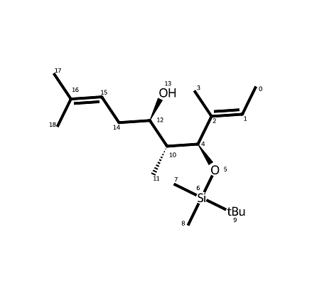 C/C=C(\C)[C@@H](O[Si](C)(C)C(C)(C)C)[C@H](C)[C@H](O)CC=C(C)C